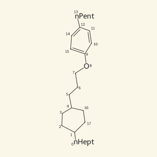 CCCCCCCC1CCC(CCCOc2ccc(CCCCC)cc2)CC1